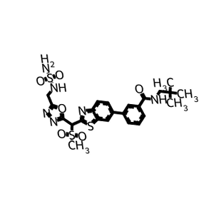 CC(C)(C)CNC(=O)c1cccc(-c2ccc3nc(C(c4nnc(CNS(N)(=O)=O)o4)S(C)(=O)=O)sc3c2)c1